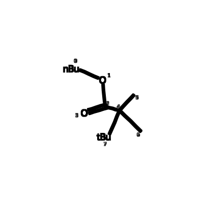 CCCCOC(=O)C(C)(C)C(C)(C)C